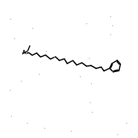 C[As](C)CCCCCCCCCCCCCCCCCc1ccccc1